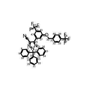 N#Cc1nn(C(c2ccccc2)(c2ccccc2)c2ccccc2)nc1-c1cc(OCc2ccc(C(F)(F)F)cc2)cc(C(F)(F)F)c1